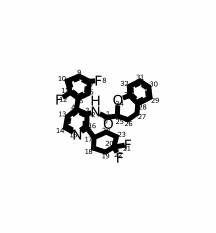 O=C(Nc1c(-c2cc(F)ccc2F)ccnc1C1CCC(F)(F)CC1)C1CCc2ccccc2O1